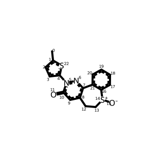 Cc1ccc(-n2nc3c(cc2=O)CC[S+]([O-])c2ccccc2-3)s1